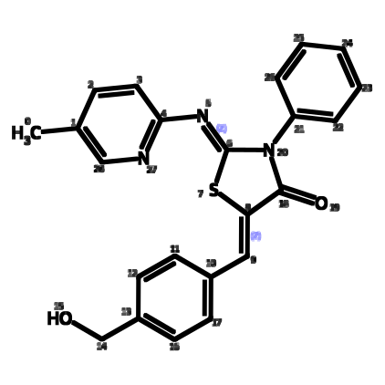 Cc1ccc(/N=C2\S/C(=C\c3ccc(CO)cc3)C(=O)N2c2ccccc2)nc1